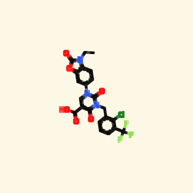 CCn1c(=O)oc2cc(-n3cc(C(=O)O)c(=O)n(Cc4cccc(C(F)(F)F)c4Cl)c3=O)ccc21